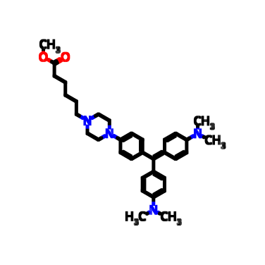 COC(=O)CCCCCN1CCN(c2ccc(C(=C3C=CC(N(C)C)C=C3)c3ccc(N(C)C)cc3)cc2)CC1